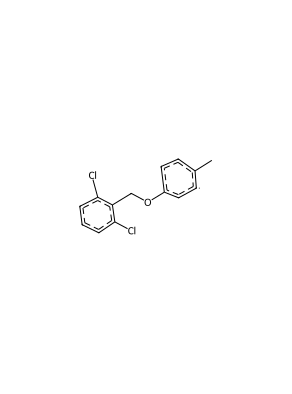 Cc1[c]cc(OCc2c(Cl)cccc2Cl)cc1